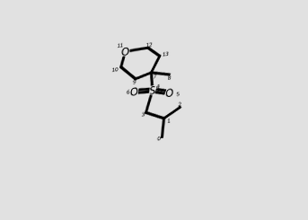 CC(C)CS(=O)(=O)C1(C)CCOCC1